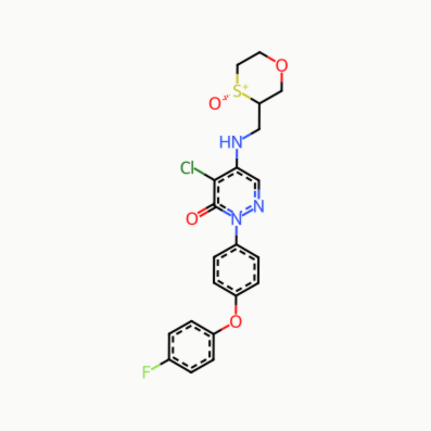 O=c1c(Cl)c(NCC2COCC[S@@+]2[O-])cnn1-c1ccc(Oc2ccc(F)cc2)cc1